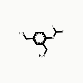 NCc1cc(CO)ccc1OC(F)F